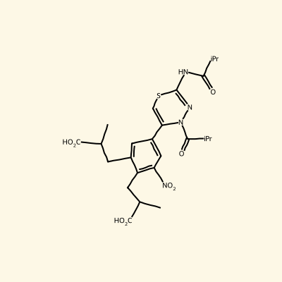 CC(C)C(=O)NC1=NN(C(=O)C(C)C)C(c2cc(CC(C)C(=O)O)c(CC(C)C(=O)O)c([N+](=O)[O-])c2)=CS1